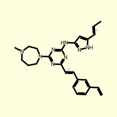 C=Cc1cccc(/C=C/c2nc(Nc3cc(/C=C/C)[nH]n3)nc(N3CCCN(C)CC3)n2)c1